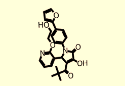 CC(C)(C)C(=O)C1=C(O)C(=O)N(c2ccc(-c3ccco3)cc2)C1c1cccnc1OCCO